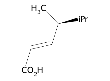 CC(C)[C@H](C)/C=C/C(=O)O